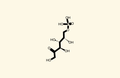 O=C(CO)[C@H](O)[C@H](O)[C@@H](O)COP(=O)(O)O